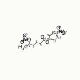 C[C@H](CCCC(=O)Oc1ccc([N+](=O)[O-])cc1)O[N+](=O)[O-]